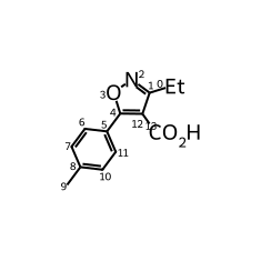 CCc1noc(-c2ccc(C)cc2)c1C(=O)O